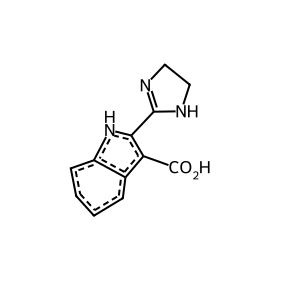 O=C(O)c1c(C2=NCCN2)[nH]c2ccccc12